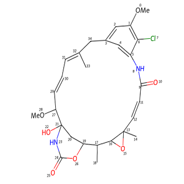 COc1cc2cc(c1Cl)NC(=O)/C=C\C1(C)OC1C(C)C1CC(O)(NC(=O)O1)C(OC)/C=C/C=C(\C)C2